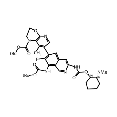 CN[C@@H]1CCCC[C@H]1OC(=O)Nc1cc2cc(-c3cnc4c(c3C)N(C(=O)OC(C)(C)C)CCO4)c(F)c(NC(=O)OC(C)(C)C)c2cn1